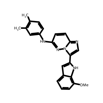 COc1cccc2cc(-c3cnc4ccc(Nc5ccc(C)c(C)c5)nn34)[nH]c12